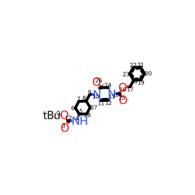 CC(C)(C)OC(=O)NC1CCC(CN2C=CN(C(=O)OCc3ccccc3)CC2=O)CC1